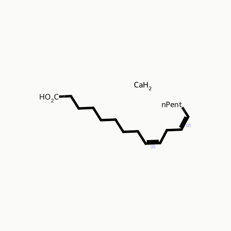 CCCCC/C=C\C/C=C\CCCCCCCC(=O)O.[CaH2]